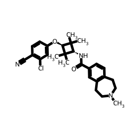 CN1CCc2ccc(C(=O)N[C@H]3C(C)(C)[C@H](Oc4ccc(C#N)c(Cl)c4)C3(C)C)cc2CC1